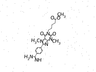 COC(=O)CCCCn1c(=O)c2c(nc(-c3ccc(C(=N)N)cc3)n2C)n(C)c1=O